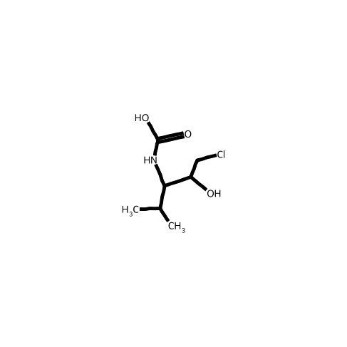 CC(C)C(NC(=O)O)C(O)CCl